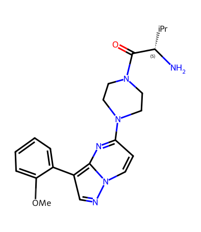 COc1ccccc1-c1cnn2ccc(N3CCN(C(=O)[C@@H](N)C(C)C)CC3)nc12